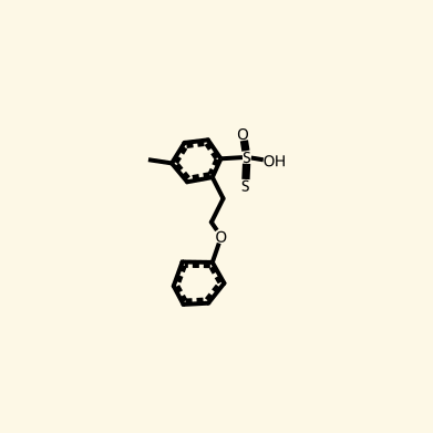 Cc1ccc(S(=O)(O)=S)c(CCOc2ccccc2)c1